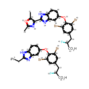 CC(C)Cc1nc2cc(Oc3c(Br)cc(CC(F)C(=O)O)cc3Br)ccc2[nH]1.Cc1nc(-c2nc3cc(Oc4c(Br)cc(CC(F)C(=O)O)cc4Br)ccc3[nH]2)c(C)o1